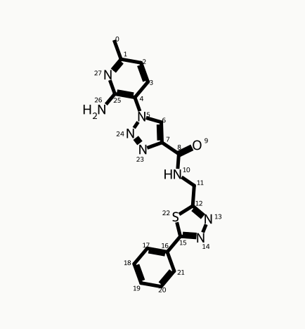 Cc1ccc(-n2cc(C(=O)NCc3nnc(-c4ccccc4)s3)nn2)c(N)n1